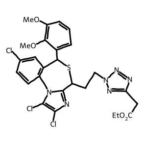 CCOC(=O)Cc1nnn(CCC2SC(c3cccc(OC)c3OC)c3cc(Cl)ccc3-n3c2nc(Cl)c3Cl)n1